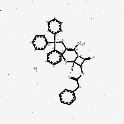 I.O=C(Cc1ccccc1)NC1C(=O)N2C(C(=O)O)=C(C[PH](c3ccccc3)(c3ccccc3)c3ccccc3)CS[C@@H]12